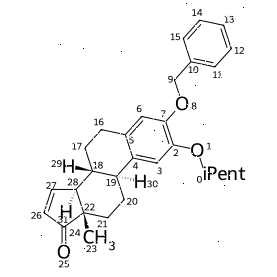 CCCC(C)Oc1cc2c(cc1OCc1ccccc1)CC[C@@H]1[C@@H]2CC[C@]2(C)C(=O)C=C[C@@H]12